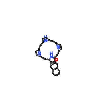 O=C1CC2c3ccccc3C1c1c2c2cc3nc(cc4ccc(cc5nc(cc1[nH]2)C=C5)[nH]4)C=C3